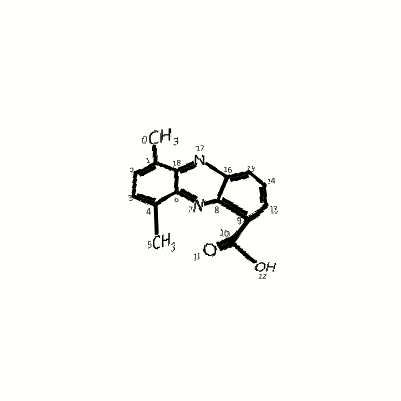 Cc1ccc(C)c2nc3c(C(=O)O)cccc3nc12